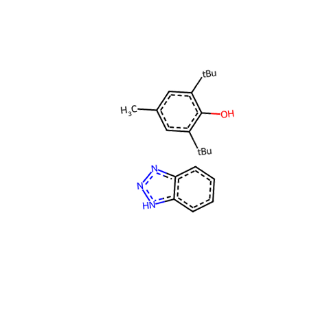 Cc1cc(C(C)(C)C)c(O)c(C(C)(C)C)c1.c1ccc2[nH]nnc2c1